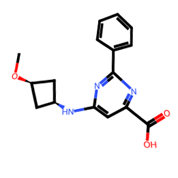 CO[C@H]1C[C@@H](Nc2cc(C(=O)O)nc(-c3ccccc3)n2)C1